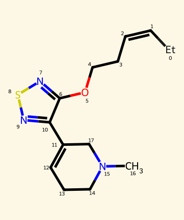 CC/C=C\CCOc1nsnc1C1=CCCN(C)C1